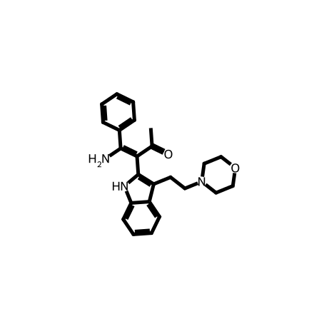 CC(=O)C(=C(N)c1ccccc1)c1[nH]c2ccccc2c1CCN1CCOCC1